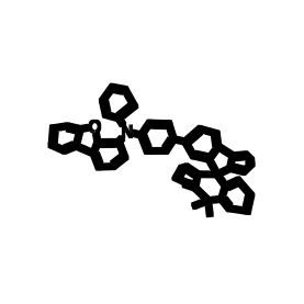 CC1(C)c2ccccc2C2(c3ccccc3-c3ccc(-c4ccc(N(c5ccccc5)c5cccc6c5oc5ccccc56)cc4)cc32)c2ccccc21